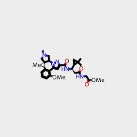 COC(=O)CNC(=O)C[C@@H](NC(=O)c1cc(-c2c(OC)cccc2OC)n(C2CCN(C)C2)n1)C1CC1(C)C